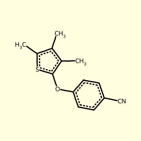 Cc1sc(Oc2ccc(C#N)cc2)c(C)c1C